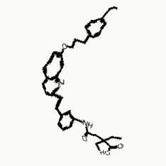 CCc1ccc(CCCOc2ccc3ccc(C=Cc4cccc(NC(=O)CC(CC)(CC)C(=O)O)c4)nc3c2)cc1